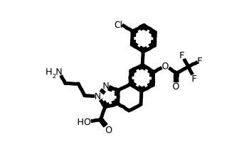 NCCCn1nc2c(c1C(=O)O)CCc1cc(OC(=O)C(F)(F)F)c(-c3cccc(Cl)c3)cc1-2